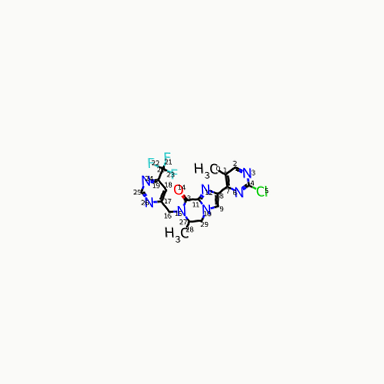 Cc1cnc(Cl)nc1-c1cn2c(n1)C(=O)N(Cc1cc(C(F)(F)F)ncn1)C(C)C2